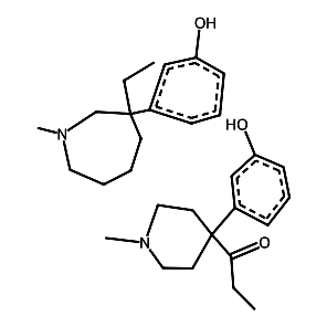 CCC(=O)C1(c2cccc(O)c2)CCN(C)CC1.CCC1(c2cccc(O)c2)CCCCN(C)C1